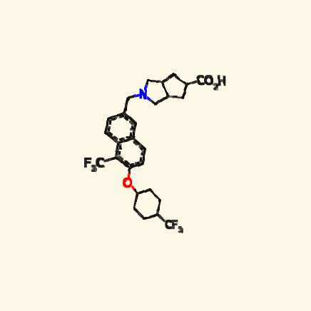 O=C(O)C1CC2CN(Cc3ccc4c(C(F)(F)F)c(OC5CCC(C(F)(F)F)CC5)ccc4c3)CC2C1